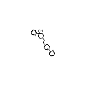 OC1(c2ccccn2)CCC(CCN2CCN(c3ccccn3)CC2)CC1